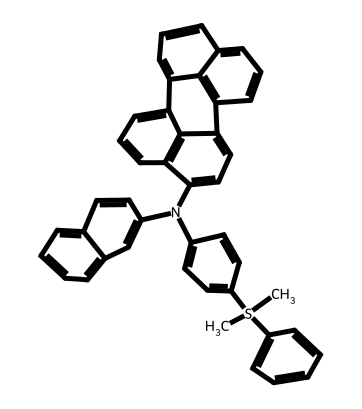 CS(C)(c1ccccc1)c1ccc(N(c2ccc3ccccc3c2)c2ccc3c4cccc5cccc(c6cccc2c63)c54)cc1